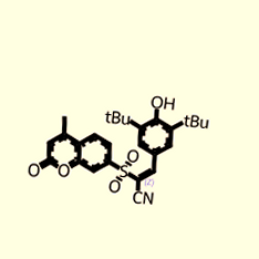 Cc1cc(=O)oc2cc(S(=O)(=O)/C(C#N)=C\c3cc(C(C)(C)C)c(O)c(C(C)(C)C)c3)ccc12